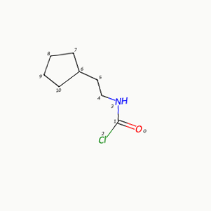 O=C(Cl)NCCC1CCCC1